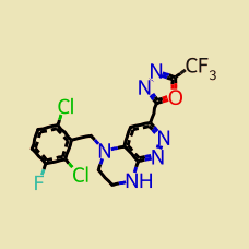 Fc1ccc(Cl)c(CN2CCNc3nnc(-c4nnc(C(F)(F)F)o4)cc32)c1Cl